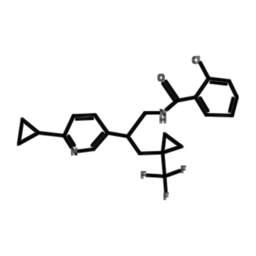 O=C(NCC(CC1(C(F)(F)F)CC1)c1ccc(C2CC2)nc1)c1ccccc1Cl